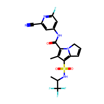 Cc1c(S(=O)(=O)NC(C)C(F)(F)F)c2n(c1C(=O)Nc1cc(F)nc(C#N)c1)CC=C2